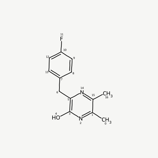 Cc1nc(O)c(Cc2ccc(F)cc2)nc1C